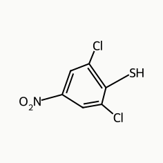 O=[N+]([O-])c1cc(Cl)c(S)c(Cl)c1